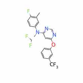 Cc1cc(N(C)c2cc(Oc3cccc(C(F)(F)F)c3)ncn2)ccc1F.FCF